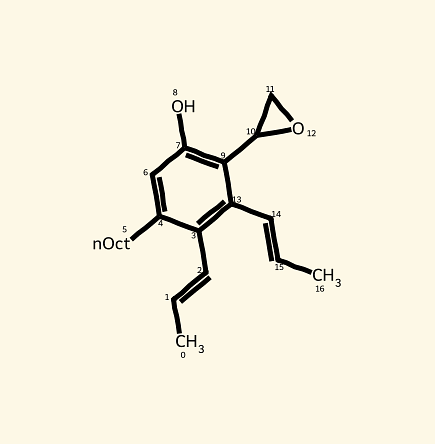 CC=Cc1c(CCCCCCCC)cc(O)c(C2CO2)c1C=CC